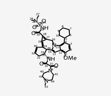 COc1ccc(C2CCCCC2)c2c1cc1n2CC2=C(C(=O)NS(=O)(=O)N(C)C)C2=C2C=CC[C@@H](NC(=O)C(=O)N3CCN(C)CC3)C21